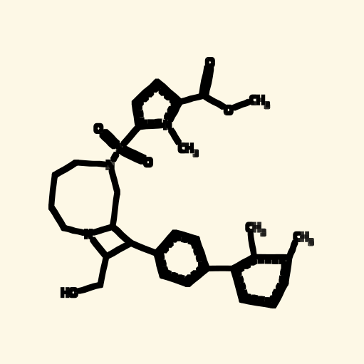 COC(=O)c1ccc(S(=O)(=O)N2CCCCN3C(CO)C(c4ccc(-c5cccc(C)c5C)cc4)C3C2)n1C